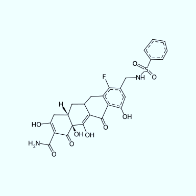 NC(=O)C1=C(O)C[C@@H]2CC3Cc4c(F)c(CNS(=O)(=O)c5ccccc5)cc(O)c4C(=O)C3=C(O)[C@]2(O)C1=O